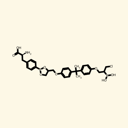 CC(C)(c1ccc(OCC2COB(c3ccc(C[C@H](N)C(=O)O)cc3)O2)cc1)c1ccc(OCC(CCl)B(O)O)cc1